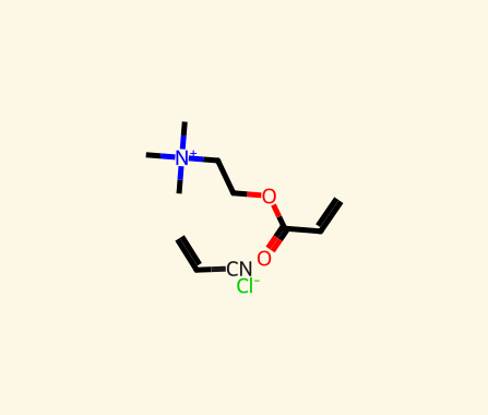 C=CC#N.C=CC(=O)OCC[N+](C)(C)C.[Cl-]